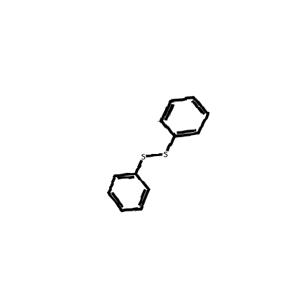 [c]1ccccc1SSc1ccccc1